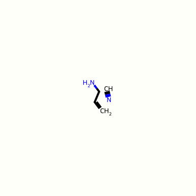 C#N.C=CCN